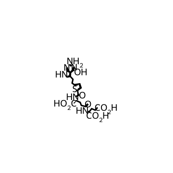 Nc1nc(O)c2c(CCc3ccc(C(=O)N[C@@H](CCC(=O)N[C@@H](CCC(=O)O)C(=O)O)C(=O)O)s3)c[nH]c2n1